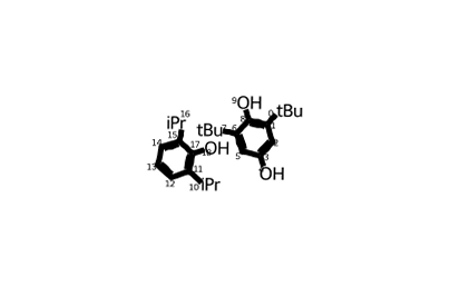 CC(C)(C)c1cc(O)cc(C(C)(C)C)c1O.CC(C)c1cccc(C(C)C)c1O